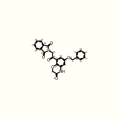 O=C1COc2c(cc(OCc3ccccc3)cc2C(=O)CN2C(=O)c3ccccc3C2=O)N1